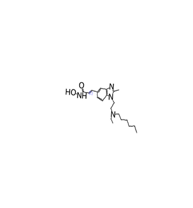 CCCCCCN(CC)CCn1c(C)nc2cc(/C=C/C(=O)NO)ccc21